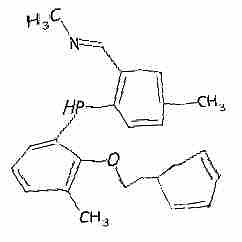 C/N=C/c1cc(C)ccc1Pc1cccc(C)c1OCC1C=CC=CC1